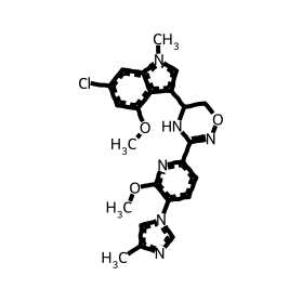 COc1nc(C2=NOCC(c3cn(C)c4cc(Cl)cc(OC)c34)N2)ccc1-n1cnc(C)c1